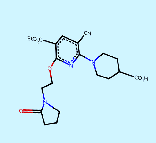 CCOC(=O)c1cc(C#N)c(N2CCC(C(=O)O)CC2)nc1OCCN1CCCC1=O